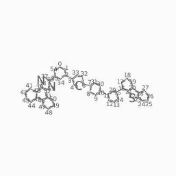 c1cc(-c2ccc(-c3ccc(-c4cccc(-c5cccc6c5sc5ccccc56)c4)cc3)cc2)cc(-c2cnc3c4ccccc4c4ccccc4c3n2)c1